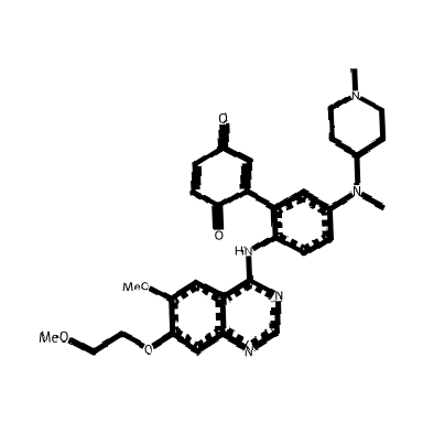 COCCOc1cc2ncnc(Nc3ccc(N(C)C4CCN(C)CC4)cc3C3=CC(=O)C=CC3=O)c2cc1OC